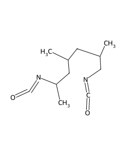 CC(CN=C=O)CC(C)CC(C)N=C=O